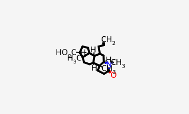 C=CCC1C[C@H]2N(C)C(=O)CC[C@]2(C)[C@H]2CC[C@]3(C)[C@@H](C(=O)O)CC[C@H]3[C@H]12